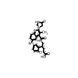 Cc1c(N2CNC(=O)C2)nc2ccc(Br)cc2c1C(=O)NCC(CCC(=O)O)c1ccccc1Cl